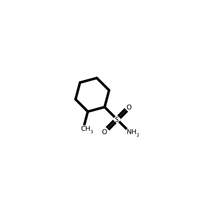 CC1CCCCC1S(N)(=O)=O